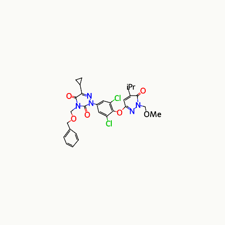 COCn1nc(Oc2c(Cl)cc(-n3nc(C4CC4)c(=O)n(COCc4ccccc4)c3=O)cc2Cl)cc(C(C)C)c1=O